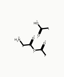 CC(=O)O.CC(=O)OC(=O)CN